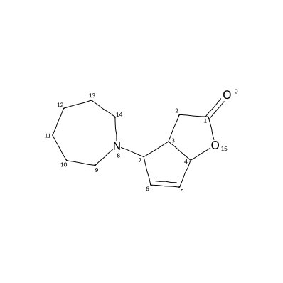 O=C1CC2C(C=CC2N2CCCCCC2)O1